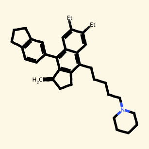 C=C1CCc2c1c(-c1ccc3c(c1)CCC3)c1cc(CC)c(CC)cc1c2CCCCCN1CCCCC1